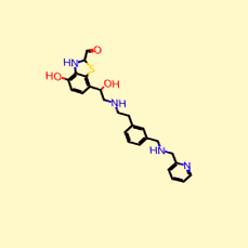 O=CC1Nc2c(O)ccc([C@@H](O)CNCCc3cccc(CNCc4ccccn4)c3)c2S1